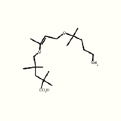 C/C(=C/COC(C)(C)CCCN)OCC(C)(C)CC(C)(C)C(=O)O